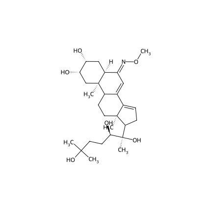 CO/N=C1\C=C2C3=CCC([C@@](C)(O)[C@H](O)CCC(C)(C)O)[C@@]3(C)CCC2[C@@]2(C)C[C@H](O)[C@H](O)C[C@@H]12